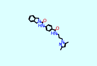 Cc1cc(C)n(CCCNC(=O)c2ccc(NC(=O)N3Cc4ccccc4C3)cc2)n1